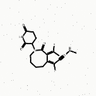 CN[N+]#C/C(F)=C1/CCCCN(C2CCC(=O)NC2=O)C(=O)/C1=C(/C)F